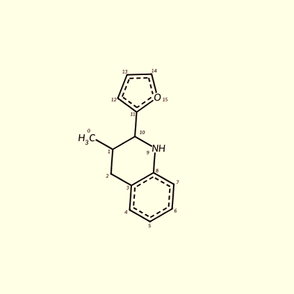 CC1Cc2ccccc2NC1c1ccco1